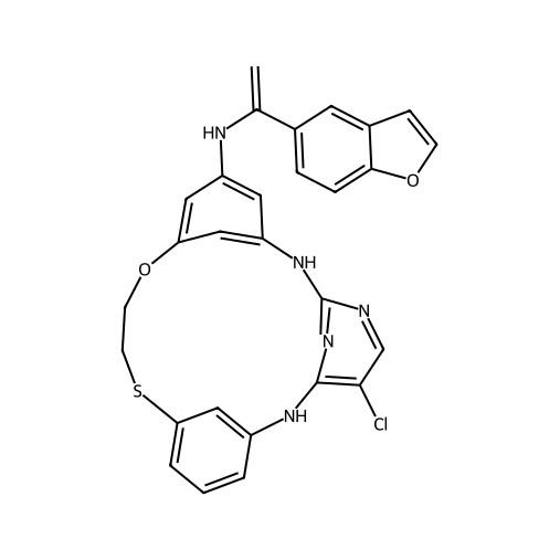 C=C(Nc1cc2cc(c1)OCCSc1cccc(c1)Nc1nc(ncc1Cl)N2)c1ccc2occc2c1